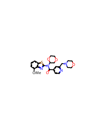 COc1cccc2sc(N(C(=O)c3ccnc(CN4CCOCC4)c3)C3COCCO3)nc12